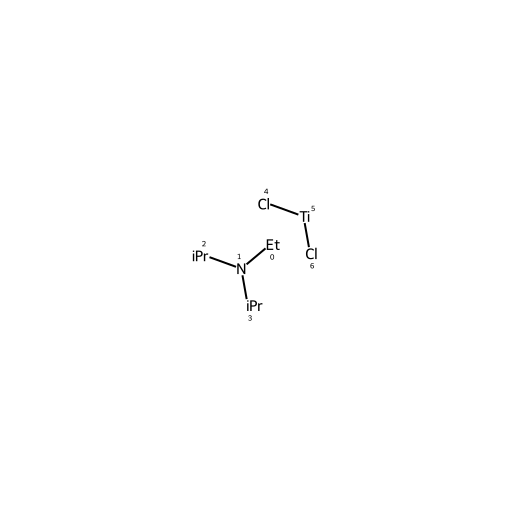 [CH2]CN(C(C)C)C(C)C.[Cl][Ti][Cl]